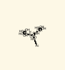 CC(=O)CCCCCNC(=O)CN(CC(=O)NCCO[C@@H]1O[C@@H](C)[C@@H](O)[C@@H](O)[C@@H]1O)CC(=O)NCCO[C@H]1O[C@H](CO)[C@@H](O)[C@H](O)[C@H]1O